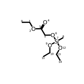 CCOC(=O)CO[Si](C)(OCC)OCC